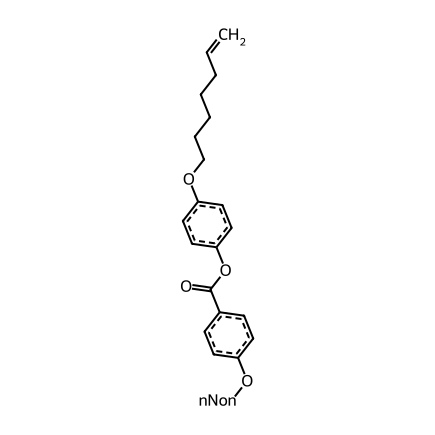 C=CCCCCCOc1ccc(OC(=O)c2ccc(OCCCCCCCCC)cc2)cc1